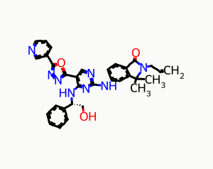 C=CCN1C(=O)c2ccc(Nc3ncc(-c4nnc(-c5cccnc5)o4)c(N[C@H](CO)c4ccccc4)n3)cc2C1(C)C